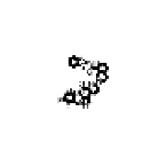 CC(C)(C)OC(=O)c1nc(N2CCc3cccc(C(=O)Nc4nc5ccccc5s4)c3C2)ccc1-c1cnn(Cc2cccc(F)c2F)c1